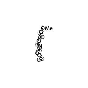 COc1ccc(OC(=O)N2CCC(Oc3cc(N4CCc5cc(S(C)(=O)=O)ccc54)ncn3)CC2)cc1